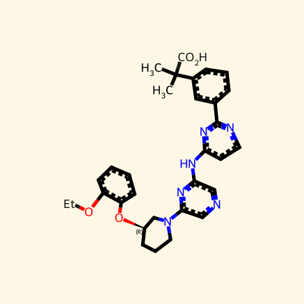 CCOc1ccccc1O[C@@H]1CCCN(c2cncc(Nc3ccnc(-c4cccc(C(C)(C)C(=O)O)c4)n3)n2)C1